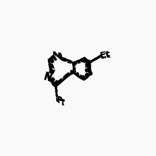 CCc1ccc2c(C(C)C)ncnc2c1